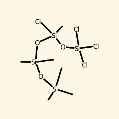 C[Si](C)(C)O[Si](C)(C)O[Si](C)(Cl)O[Si](Cl)(Cl)Cl